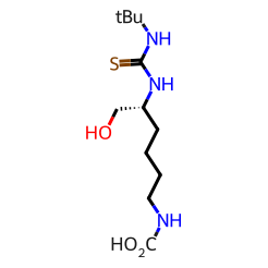 CC(C)(C)NC(=S)N[C@@H](CO)CCCCNC(=O)O